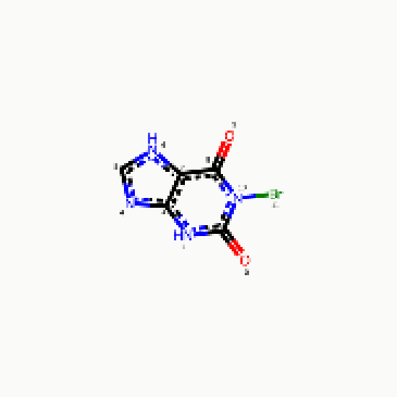 O=c1[nH]c2nc[nH]c2c(=O)n1Br